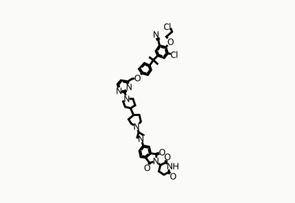 CC(C)(c1ccc(OCc2ccnc(N3CCC(C4CCN(C5CN(c6ccc7c(c6)C(=O)N(C6CCC(=O)NC6=O)C7=O)C5)CC4)CC3)n2)cc1)c1cc(Cl)c(OCCCl)c(C#N)c1